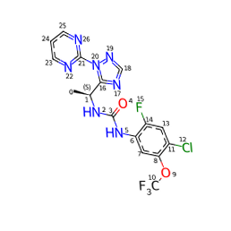 C[C@H](NC(=O)Nc1cc(OC(F)(F)F)c(Cl)cc1F)c1ncnn1-c1ncccn1